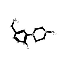 CN1CCN(c2cc(CN)ccc2F)CC1